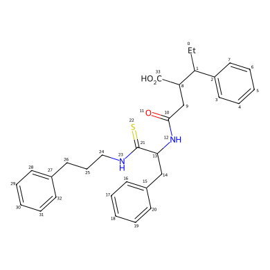 CCC(c1ccccc1)C(CC(=O)NC(Cc1ccccc1)C(=S)NCCCc1ccccc1)C(=O)O